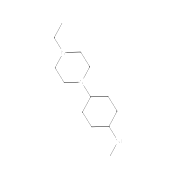 CCN1CCN(C2CCC(NC)CC2)CC1